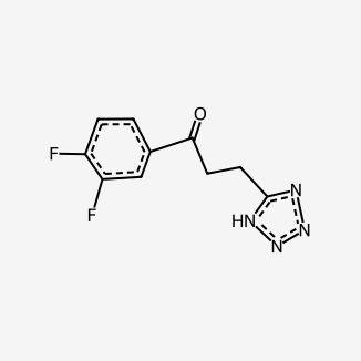 O=C(CCc1nnn[nH]1)c1ccc(F)c(F)c1